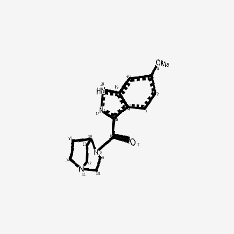 COc1ccc2c(C(=O)N3CCN4CCC3CC4)n[nH]c2c1